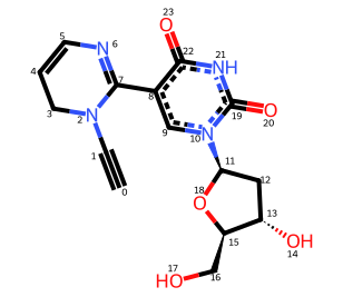 C#CN1CC=CN=C1c1cn([C@H]2C[C@H](O)[C@@H](CO)O2)c(=O)[nH]c1=O